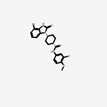 COc1ccc(NC(=O)[C@H]2CC[C@@H](n3c(=O)[nH]c4c(Br)cccc43)CC2)cc1Cl